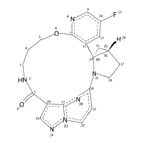 O=C1NCCCOc2ncc(F)cc2[C@@]23C[C@@H]2CCN3c2ccn3ncc1c3n2